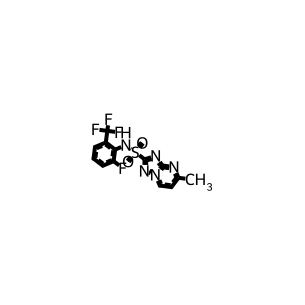 Cc1ccn2nc(S(=O)(=O)Nc3c(F)cccc3C(F)(F)F)nc2n1